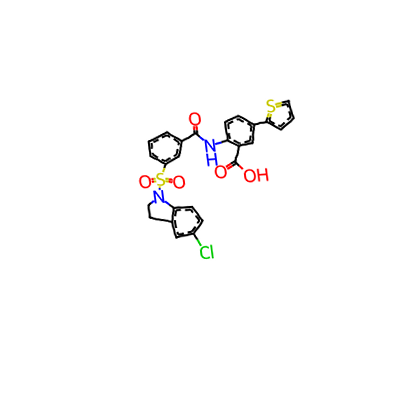 O=C(Nc1ccc(-c2cccs2)cc1C(=O)O)c1cccc(S(=O)(=O)N2CCc3cc(Cl)ccc32)c1